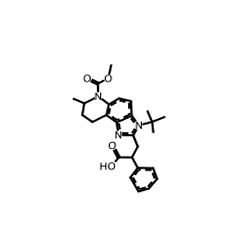 COC(=O)N1c2ccc3c(nc(CC(C(=O)O)c4ccccc4)n3C(C)(C)C)c2CCC1C